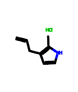 C=CCc1cc[nH]c1C.Cl